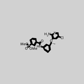 COP(=O)(OC)c1cccc(C(=O)Nc2cccc([C@@H](C)Oc3cc(Cl)cnc3N)c2)c1